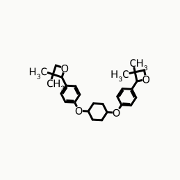 CC1(C)COC1c1ccc(OC2CCC(Oc3ccc(C4OCC4(C)C)cc3)CC2)cc1